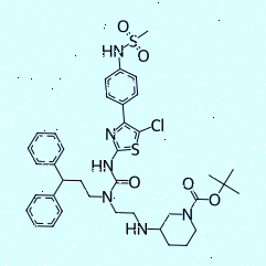 CC(C)(C)OC(=O)N1CCCC(NCCN(CCC(c2ccccc2)c2ccccc2)C(=O)Nc2nc(-c3ccc(NS(C)(=O)=O)cc3)c(Cl)s2)C1